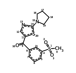 CS(=O)(=O)c1cccc(C(=O)c2cnc(N3CCCC3)s2)c1